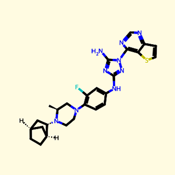 C[C@H]1CN(c2ccc(Nc3nc(N)n(-c4ncnc5ccsc45)n3)cc2F)CCN1[C@H]1C[C@@H]2CC[C@H]1C2